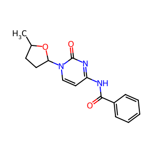 CC1CCC(n2ccc(NC(=O)c3ccccc3)nc2=O)O1